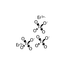 O=[Te](=O)([O-])[O-].O=[Te](=O)([O-])[O-].O=[Te](=O)([O-])[O-].[Er+3].[Er+3]